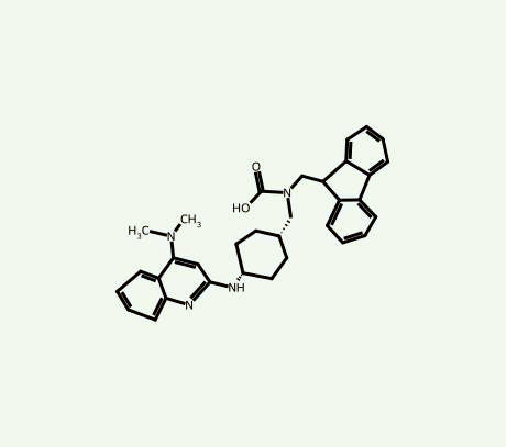 CN(C)c1cc(N[C@H]2CC[C@@H](CN(CC3c4ccccc4-c4ccccc43)C(=O)O)CC2)nc2ccccc12